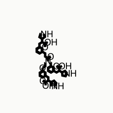 O=C(O)C(Cc1cccc(CCC(=O)N(CCOc2cccc(CC(C(=O)O)C3CCNC3)c2)Cc2cccc(CC(C(=O)O)C3CCNC3)c2)c1)C1CCNC1